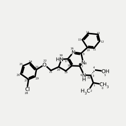 CC(C)[C@@H](CO)Nc1nc(-c2ccccc2)nc2c1CC(COc1cccc(Cl)c1)N2